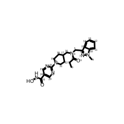 CCC(=O)N(Cc1nn(C)c2ccccc12)CC1CCN(c2ncc(C(=O)NO)cn2)CC1